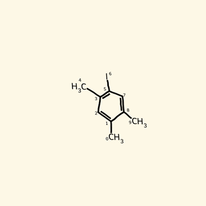 Cc1cc(C)c(I)cc1C